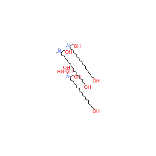 CN(C)C(CO)CCCCCCCCCCCCCCCCO.CN(C)C(CO)CCCCCCCCCCCCCCCCO.CN(C)C(CO)CCCCCCCCCCCCCCCCO.OB(O)O